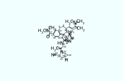 C=C(c1ccc2c(c1)CCc1cc(C(=O)N(C)C)ccc1C2(CC1(NCC(=C)N2C(C#N)C[C@@H]3CC32)CC1)c1nnn[nH]1)N(C)C